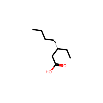 CCCC[C@H](CC)CC(=O)O